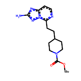 CC(C)(C)OC(=O)N1CCC(CCc2nccc3nc(N)nn23)CC1